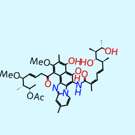 COc1c(C)c(O)c2c(O)c(NC(=O)/C(C)=C\C=C\[C@H](C)[C@H](O)[C@@H](C)[C@H](C)O)c3c(nc4cc(C)ccn43)c2c1C(=O)C/C=C/[C@H](OC)[C@@H](C)[C@H](C)OC(C)=O